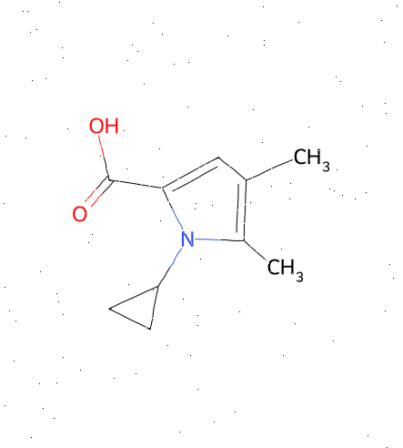 Cc1cc(C(=O)O)n(C2CC2)c1C